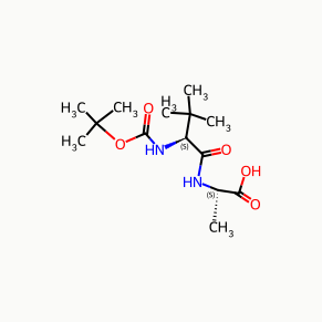 C[C@H](NC(=O)[C@@H](NC(=O)OC(C)(C)C)C(C)(C)C)C(=O)O